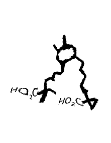 Cc1cc(CCCCCC2(C(=O)O)CC2)c(CCCCC(C)(C)C(=O)O)cc1C